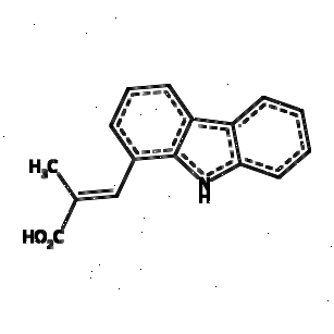 CC(=Cc1cccc2c1[nH]c1ccccc12)C(=O)O